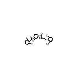 O=C(NCCc1c(Cl)cccc1Cl)c1ccc2nc(-c3c(Cl)cccc3Cl)[nH]c2c1